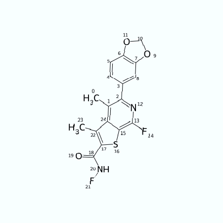 Cc1c(-c2ccc3c(c2)OCO3)nc(F)c2sc(C(=O)NF)c(C)c12